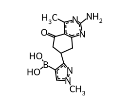 Cc1nc(N)nc2c1C(=O)CC(c1nn(C)cc1B(O)O)C2